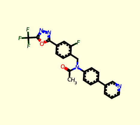 CC(=O)N(Cc1ccc(-c2nnc(C(F)(F)F)o2)cc1F)c1ccc(-c2cccnc2)cc1